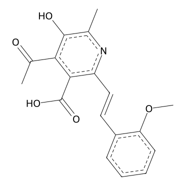 COc1ccccc1C=Cc1nc(C)c(O)c(C(C)=O)c1C(=O)O